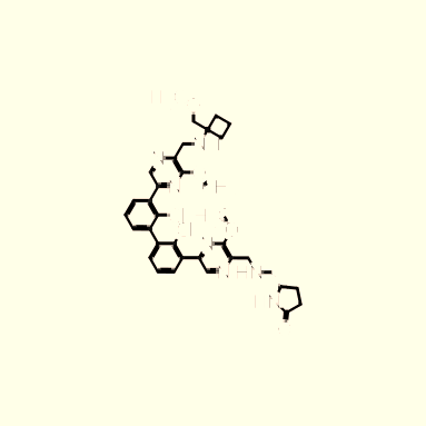 COCC1(NCc2ncc(-c3cccc(-c4cccc(-c5cnc(CNC[C@@H]6CCC(=O)N6)c(OC)n5)c4Cl)c3Cl)nc2OC)CCC1